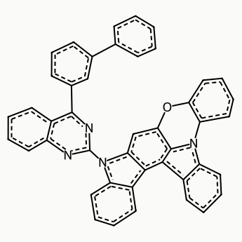 c1ccc(-c2cccc(-c3nc(-n4c5ccccc5c5c6c7ccccc7n7c6c(cc54)Oc4ccccc4-7)nc4ccccc34)c2)cc1